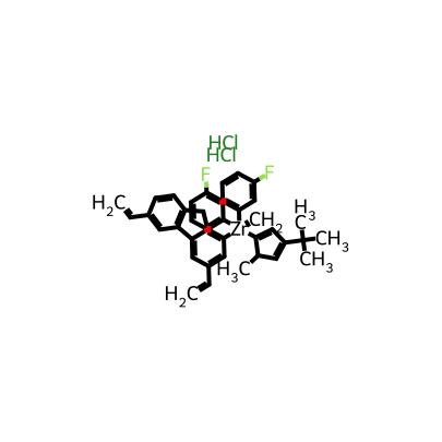 C=Cc1ccc2c(c1)-c1cc(C=C)c[c]([Zr](=[CH2])([C]3=CC(C(C)(C)C)=CC3C)([c]3cccc(F)c3)[c]3cccc(F)c3)c1C2.Cl.Cl